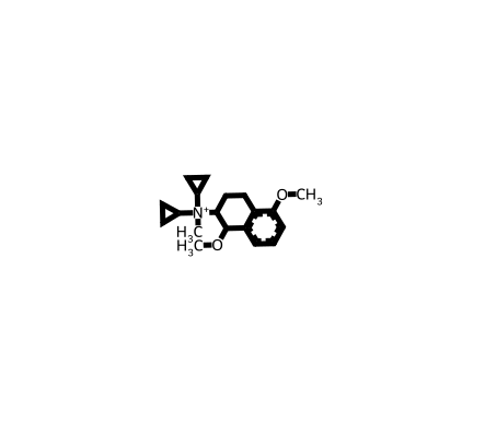 COc1cccc2c1CCC([N+](C)(C1CC1)C1CC1)C2OC